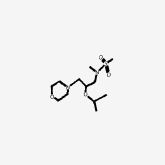 CC(C)OC(CN1CCOCC1)CN(C)S(C)(=O)=O